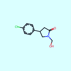 O=C1CC(c2ccc(Cl)cc2)CN1CO